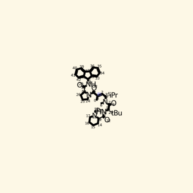 C/C(=C\[C@H](C(C)C)N(C)C(=O)[C@@H](NC(=O)[C@H]1CCCCN1C(C)C)C(C)(C)C)C(=O)N1CCC[C@H]1C(=O)NC1c2ccccc2-c2ccccc21